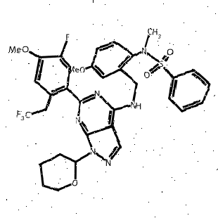 COc1ccc(N(C)S(=O)(=O)c2ccccc2)c(CNc2nc(-c3cc(F)c(OC)cc3CC(F)(F)F)nc3c2cnn3C2CCCCO2)c1